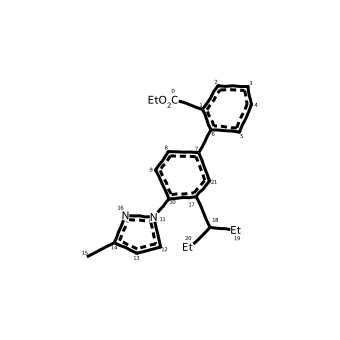 CCOC(=O)c1ccccc1-c1ccc(-n2ccc(C)n2)c(C(CC)CC)c1